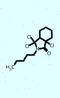 CCCCCN1C(=O)C2(Cl)CCCCC2C1(Cl)Cl